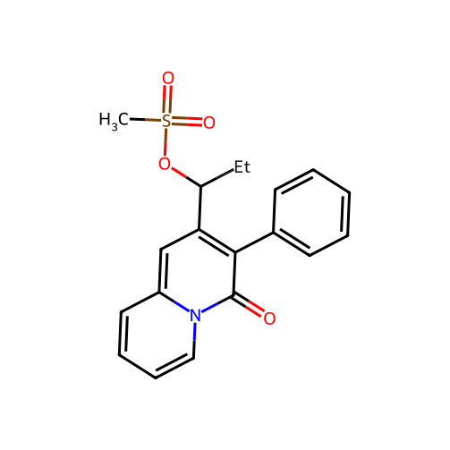 CCC(OS(C)(=O)=O)c1cc2ccccn2c(=O)c1-c1ccccc1